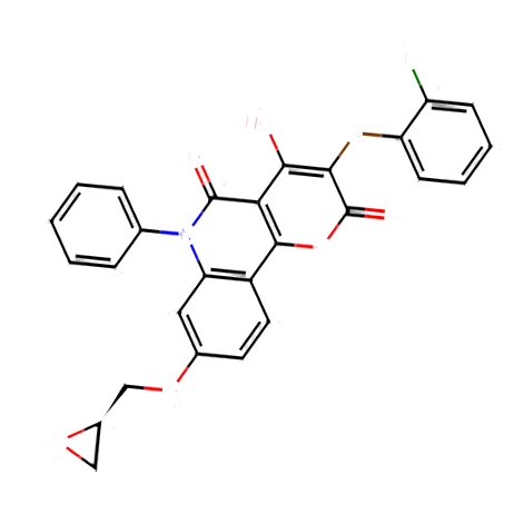 O=c1oc2c(c(O)c1Sc1ccccc1F)c(=O)n(-c1ccccc1)c1cc(OC[C@H]3CO3)ccc21